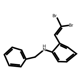 BrC(Br)=Cc1ccccc1NCc1ccccc1